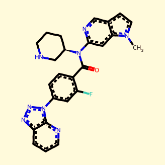 Cn1ccc2cnc(N(C(=O)c3ccc(-n4nnc5cccnc54)cc3F)[C@@H]3CCCNC3)cc21